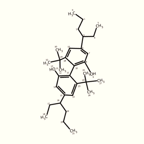 CCCC(CC)c1cc(O)c(-c2c(O)cc(C(CC)CCC)cc2C(C)(C)C)c(C(C)(C)C)c1